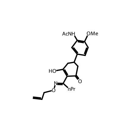 C=CCO/N=C(\CCC)C1=C(O)CC(c2ccc(OC)c(NC(C)=O)c2)CC1=O